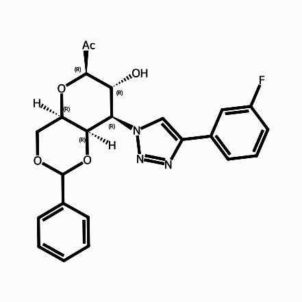 CC(=O)[C@@H]1O[C@@H]2COC(c3ccccc3)O[C@@H]2[C@H](n2cc(-c3cccc(F)c3)nn2)[C@H]1O